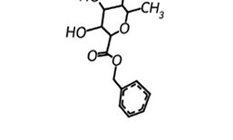 CC1OC(C(=O)OCc2ccccc2)C(O)C(O)C1O